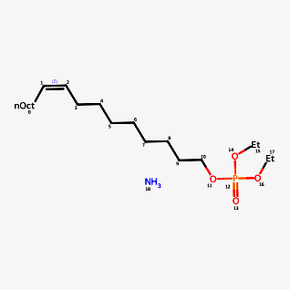 CCCCCCCC/C=C\CCCCCCCCOP(=O)(OCC)OCC.N